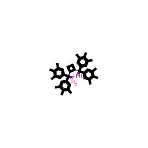 Cc1cc(C(P)(c2cc(C)c(C)c(C)c2)[C@H]2CC[C@@H]2C(P)(c2cc(C)c(C)c(C)c2)c2cc(C)c(C)c(C)c2)cc(C)c1C